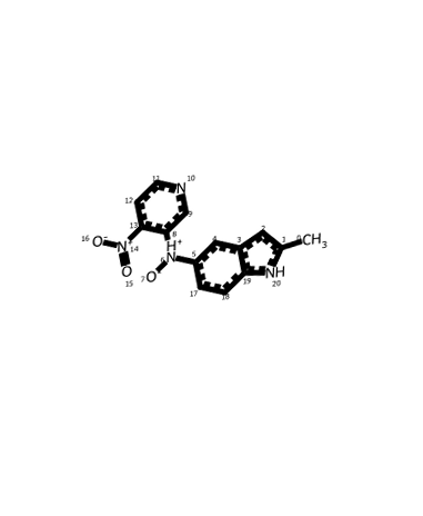 Cc1cc2cc([NH+]([O-])c3cnccc3[N+](=O)[O-])ccc2[nH]1